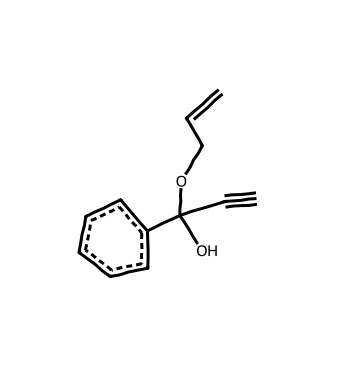 C#CC(O)(OCC=C)c1ccccc1